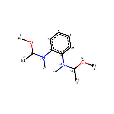 CCOC(CC)N(C)c1ccccc1N(C)C(CC)OCC